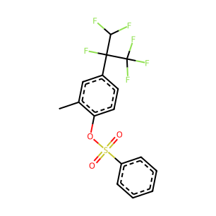 Cc1cc(C(F)(C(F)F)C(F)(F)F)ccc1OS(=O)(=O)c1ccccc1